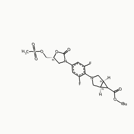 CC(C)(C)OC(=O)C1[C@H]2CN(c3c(F)cc(N4C[C@H](COS(C)(=O)=O)OC4=O)cc3F)C[C@@H]12